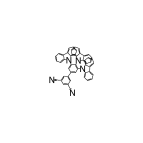 N#Cc1cc(C#N)cc(-c2cc(-n3c4ccccc4c4ccccc43)c(-n3c4ccccc4c4ccccc43)c(-n3c4ccccc4c4ccccc43)c2)c1